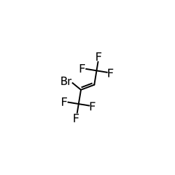 FC(F)(F)C=C(Br)C(F)(F)F